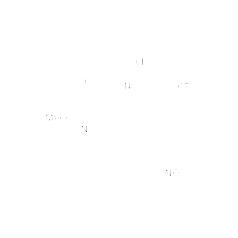 CON=C1C(=O)N(C)c2c1cc([N+](=O)[O-])cc2C(F)(F)F